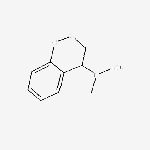 CCCCN(C)C1[C]OOc2ccccc21